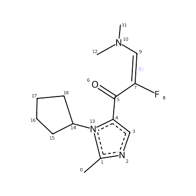 Cc1ncc(C(=O)/C(F)=C\N(C)C)n1C1CCCC1